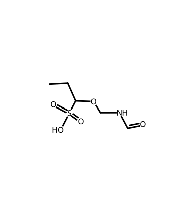 CCC(OCNC=O)S(=O)(=O)O